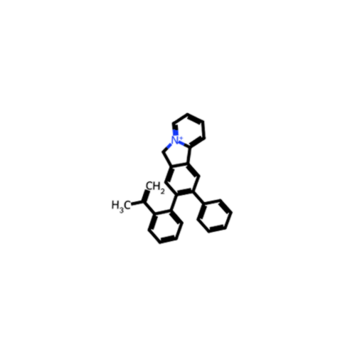 C=C(C)c1ccccc1-c1cc2c(cc1-c1ccccc1)-c1cccc[n+]1C2